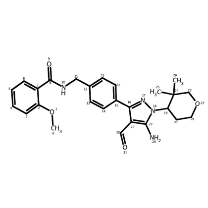 COc1ccccc1C(=O)NCc1ccc(-c2nn(C3CCOCC3(C)C)c(N)c2C=O)cc1